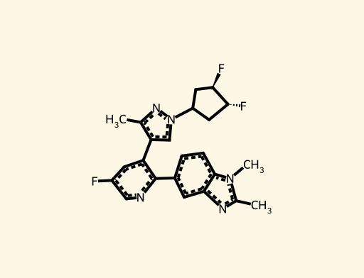 Cc1nn(C2C[C@@H](F)[C@H](F)C2)cc1-c1cc(F)cnc1-c1ccc2c(c1)nc(C)n2C